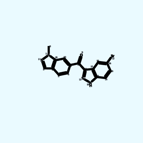 Cn1ncc2ccc(C(=O)c3n[nH]c4ccc(Br)cc34)cc21